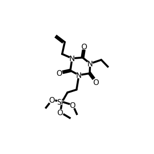 C=CCn1c(=O)n(CC)c(=O)n(CC[Si](OC)(OC)OC)c1=O